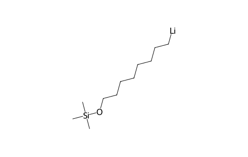 [Li][CH2]CCCCCCCO[Si](C)(C)C